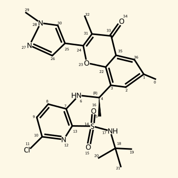 Cc1cc([C@@H](C)Nc2ccc(Cl)nc2S(=O)(=O)NC(C)(C)C)c2oc(-c3cnn(C)c3)c(C)c(=O)c2c1